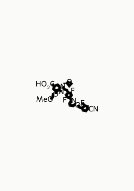 COCCOc1cc(C(=O)O)cc2c1nc(Cc1cc(F)c(-c3cccc(OCc4ccc(C#N)cc4F)n3)cc1F)n2C[C@@H]1CCO1